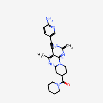 C=C(N)/N=C(\C(C#Cc1ccc(N)nc1)=C(\C)N)N1CCC(C(=O)N2CCCCC2)CC1